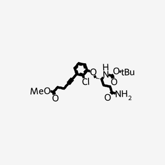 COC(=O)CCC#Cc1cccc(OC[C@@H](CCC(N)=O)NC(=O)OC(C)(C)C)c1Cl